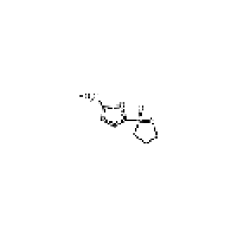 O=C(O)c1ccc(S2(=O)=NCCC2)o1